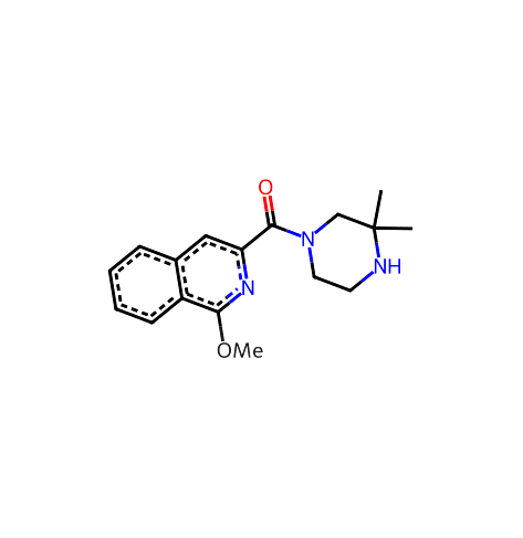 COc1nc(C(=O)N2CCNC(C)(C)C2)cc2ccccc12